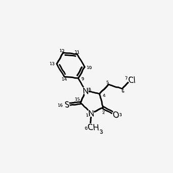 CN1C(=O)C(CCCl)N(c2ccccc2)C1=S